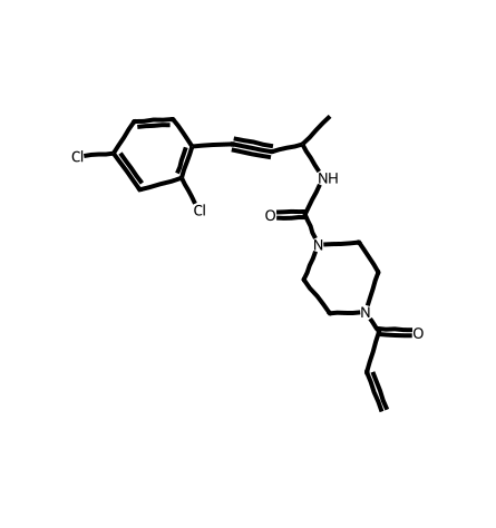 C=CC(=O)N1CCN(C(=O)NC(C)C#Cc2ccc(Cl)cc2Cl)CC1